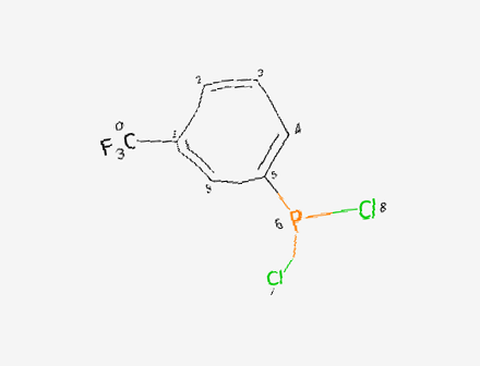 FC(F)(F)c1cccc(P(Cl)Cl)c1